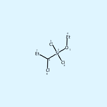 CCO[Si](Cl)(Cl)C(Cl)CC